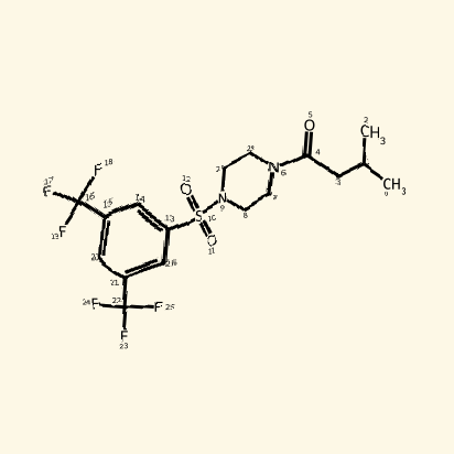 CC(C)CC(=O)N1CCN(S(=O)(=O)c2cc(C(F)(F)F)cc(C(F)(F)F)c2)CC1